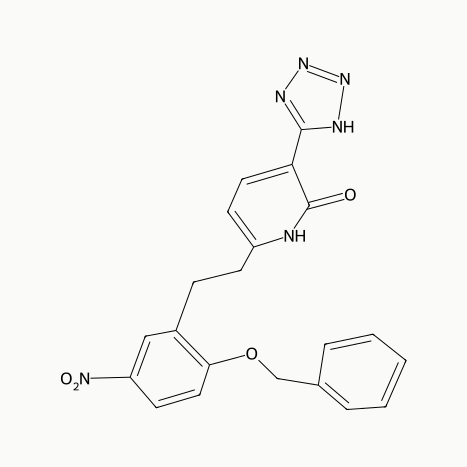 O=c1[nH]c(CCc2cc([N+](=O)[O-])ccc2OCc2ccccc2)ccc1-c1nnn[nH]1